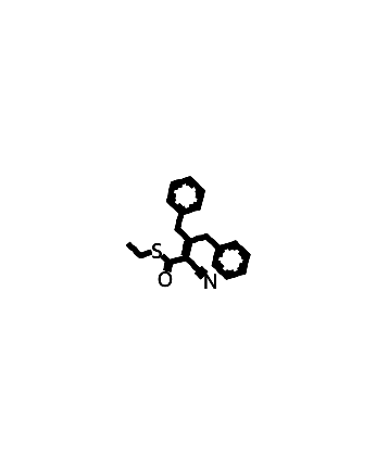 CCSC(=O)C(C#N)=C(Cc1ccccc1)Cc1ccccc1